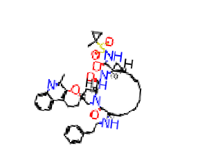 Cc1nc2ccccc2c2c1O[C@]1(CC2)C[C@H]2C(=O)N[C@]3(C(=O)NS(=O)(=O)C4(C)CC4)C[C@H]3C=CCCCCC[C@H](NCCc3ccccc3)C(=O)N2C1